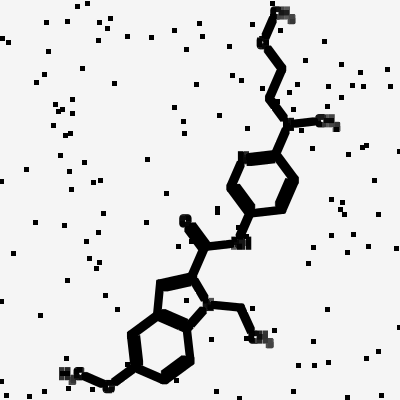 CCn1c(C(=O)Nc2ccc(N(C)CCOC)nc2)cc2cc(OC)ccc21